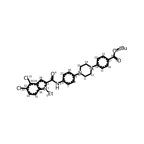 CCn1c(C(=O)Nc2ccc(N3CCN(c4ccc(C(=O)OC(C)(C)C)cc4)CC3)cc2)cc2c(Cl)c(Cl)ccc21